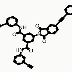 C#Cc1cccc(NC(=O)c2cc(C(=O)Nc3cccc(C#C)c3)cc(N3C(=O)c4ccc(C#Cc5ccccc5)cc4C3=O)c2)c1